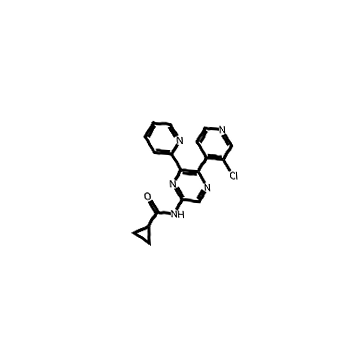 O=C(Nc1cnc(-c2ccncc2Cl)c(-c2ccccn2)n1)C1CC1